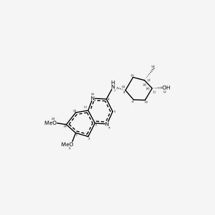 COc1cc2ncc(N[C@H]3CC[C@@H](O)[C@@H](C)C3)nc2cc1OC